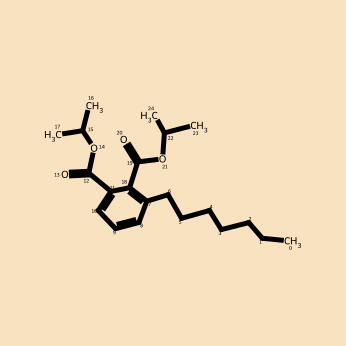 CCCCCCCc1cccc(C(=O)OC(C)C)c1C(=O)OC(C)C